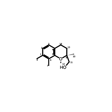 Cc1ccc2c(c1C)O[C@](C)(CO)CC2